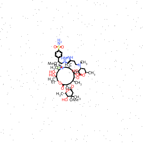 CC[C@H]1OC(=O)[C@H](C)[C@@H](O[C@H]2C[C@@](C)(OC)[C@@H](O)[C@H](C)O2)[C@H](C)[C@@H](O[C@@H]2O[C@H](C)C[C@H](N(C)CCC3=CN([C@H](CF)[C@H](OC)c4ccc(S(N)(=O)=O)cc4)NN3)[C@H]2O)[C@](C)(O)C[C@@H](C)CN(C)[C@H](C)[C@@H](O)[C@]1(C)O